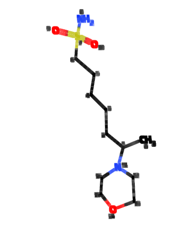 CC(CCCCCS(N)(=O)=O)N1CCOCC1